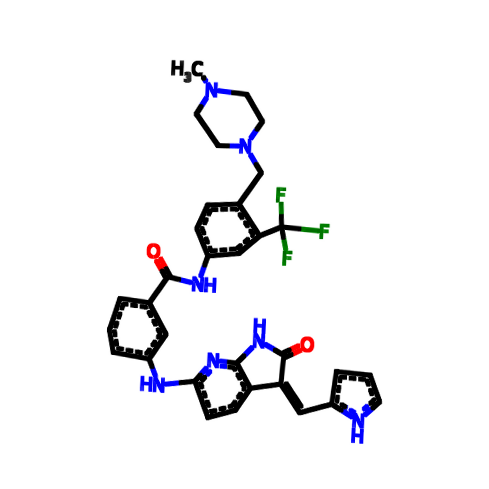 CN1CCN(Cc2ccc(NC(=O)c3cccc(Nc4ccc5c(n4)NC(=O)C5=Cc4ccc[nH]4)c3)cc2C(F)(F)F)CC1